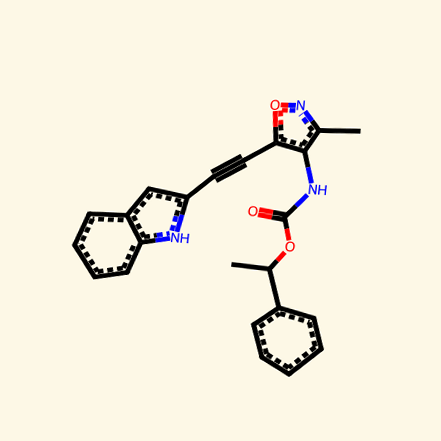 Cc1noc(C#Cc2cc3ccccc3[nH]2)c1NC(=O)OC(C)c1ccccc1